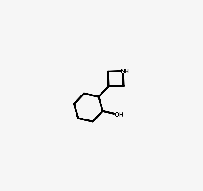 OC1CCCCC1C1CNC1